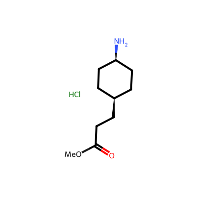 COC(=O)CC[C@H]1CC[C@@H](N)CC1.Cl